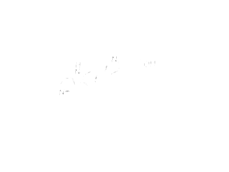 OCCCc1ccc(-c2ccc3c(c2)[nH]c2ccncc23)cn1